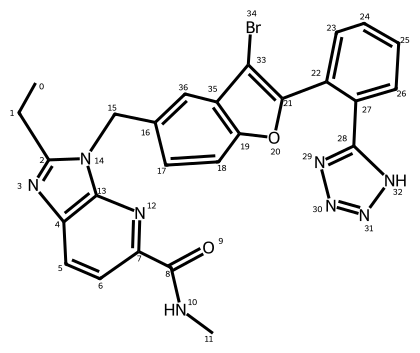 CCc1nc2ccc(C(=O)NC)nc2n1Cc1ccc2oc(-c3ccccc3-c3nnn[nH]3)c(Br)c2c1